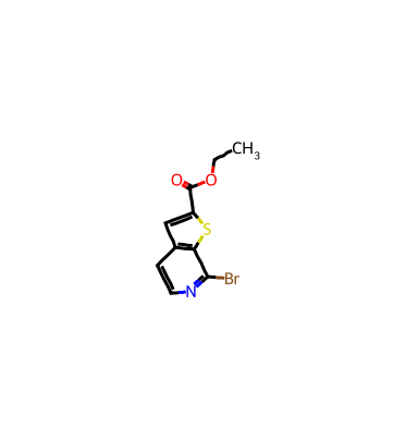 CCOC(=O)c1cc2ccnc(Br)c2s1